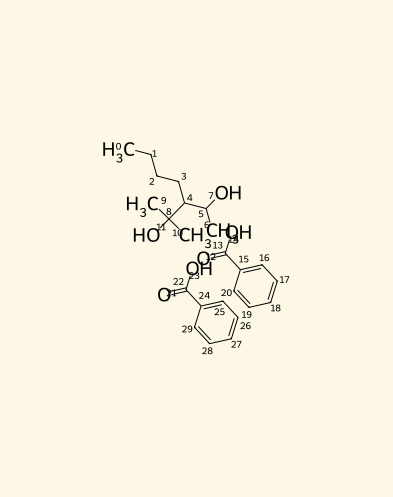 CCCCC(C(C)O)C(C)(C)O.O=C(O)c1ccccc1.O=C(O)c1ccccc1